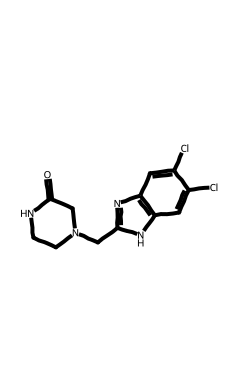 O=C1CN(Cc2nc3cc(Cl)c(Cl)cc3[nH]2)CCN1